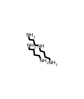 NCCCCN.NCCCCNCCCN